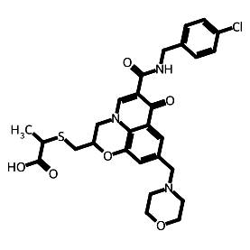 CC(SCC1Cn2cc(C(=O)NCc3ccc(Cl)cc3)c(=O)c3cc(CN4CCOCC4)cc(c32)O1)C(=O)O